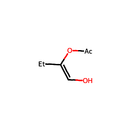 CCC(=CO)OC(C)=O